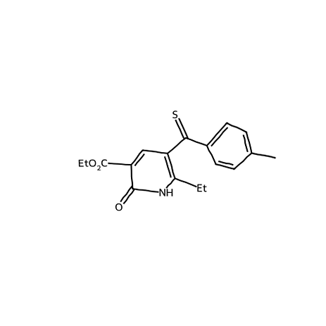 CCOC(=O)c1cc(C(=S)c2ccc(C)cc2)c(CC)[nH]c1=O